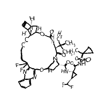 CC(C)(C)[C@@H]1NC(=O)O[C@@H]2C[C@@H]3C#C[C@@H]3[C@H]2CCCCC(F)(F)c2nc3ccccc3nc2O[C@@H]2C[C@@H](C(=O)N[C@]3(C(=O)NS(=O)(=O)C4(C)CC4)C[C@H]3C(F)F)N(C2)C1=O